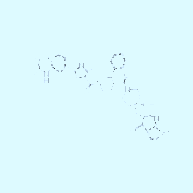 Cc1nc(-c2ccnc(NC(=O)O)c2)sc1C(=O)N1CC[C@@H](C(=O)N2CCC(O)(Cn3cnc4c(ccn4C)c3=O)CC2)[C@H](c2ccccc2)C1